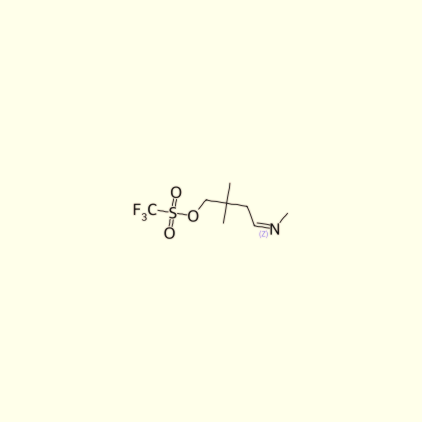 C/N=C\CC(C)(C)COS(=O)(=O)C(F)(F)F